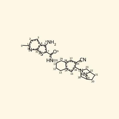 Cc1ccc2c(N)c(C(=O)N[C@H]3CCc4cc(N5CC6CCC(C5)N6)c(C#N)cc4C3)sc2n1